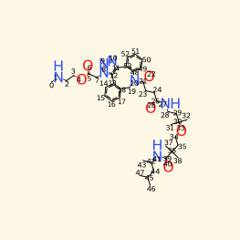 CNCCOC(=O)Cn1nnc2c1-c1ccccc1CN(C(=O)CCC(=O)NCCC(C)(C)OCCC(C)(C)C(=O)NC(C)CC(C)C)c1ccccc1-2